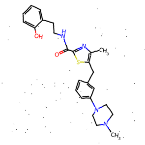 Cc1nc(C(=O)NCCc2ccccc2O)sc1Cc1cccc(N2CCN(C)CC2)c1